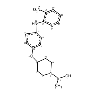 CB(O)N1CCC(Oc2ccc(Nc3ncccc3[N+](=O)[O-])cc2)CC1